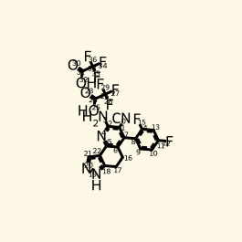 N#Cc1c(N)nc2c(c1-c1ccc(F)cc1F)CCc1[nH]ncc1-2.O=C(O)C(F)(F)F.O=C(O)C(F)(F)F